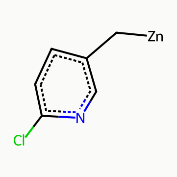 Clc1ccc([CH2][Zn])cn1